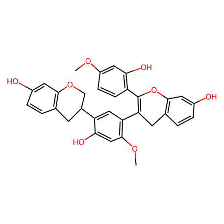 COc1ccc(C2=C(c3cc(C4COc5cc(O)ccc5C4)c(O)cc3OC)Cc3ccc(O)cc3O2)c(O)c1